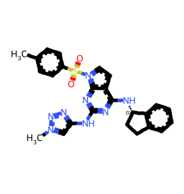 Cc1ccc(S(=O)(=O)n2ccc3c(N[C@H]4CCc5ccccc54)nc(Nc4cn(C)nn4)nc32)cc1